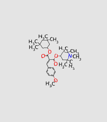 COc1ccc(/C=C(/C(=O)OC2CC(C)(C)CC(C)(C)C2)C(=O)OC2CC(C)(C)N(C)C(C)(C)C2)cc1